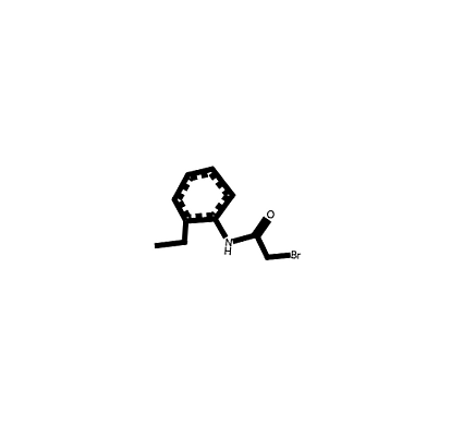 CCc1ccccc1NC(=O)CBr